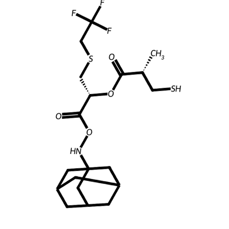 C[C@H](CS)C(=O)O[C@@H](CSCC(F)(F)F)C(=O)ONC12CC3CC(CC(C3)C1)C2